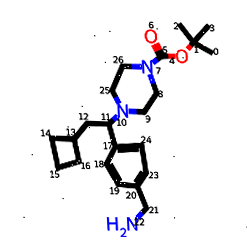 CC(C)(C)OC(=O)N1CCN(C(CC2CCC2)c2ccc(CN)cc2)CC1